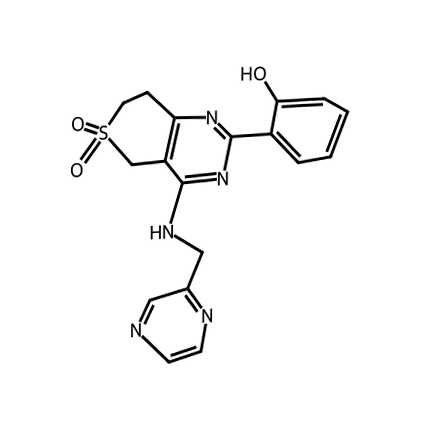 O=S1(=O)CCc2nc(-c3ccccc3O)nc(NCc3cnccn3)c2C1